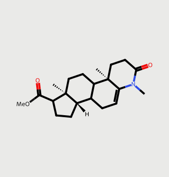 COC(=O)C1CC[C@H]2C3CC=C4N(C)C(=O)CC[C@]4(C)C3CC[C@]12C